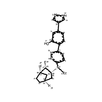 CCN(c1ccc(-c2ccc(-c3cn[nH]c3)cc2O)nn1)[C@@H]1C[C@H]2CC[C@H](C2)[C@@H]1F